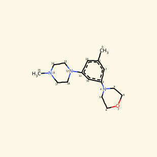 Cc1cc(N2CCOCC2)cc(N2CCN(C)CC2)c1